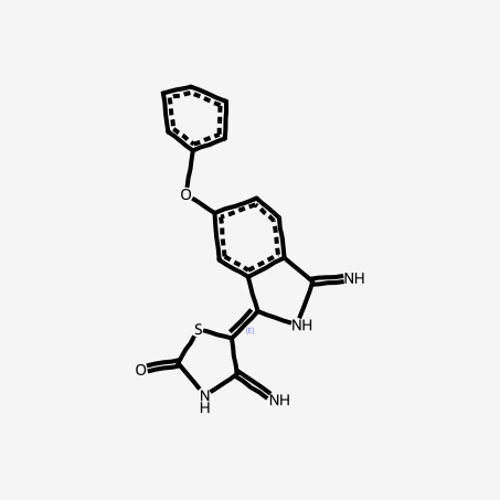 N=C1NC(=O)S/C1=C1/NC(=N)c2ccc(Oc3ccccc3)cc21